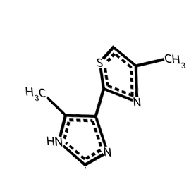 Cc1csc(-c2n[c][nH]c2C)n1